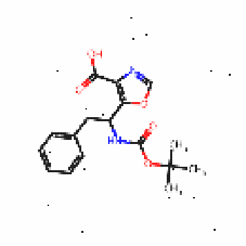 CC(C)(C)OC(=O)NC(Cc1ccccc1)c1ocnc1C(=O)O